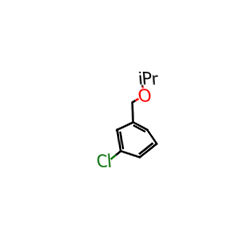 CC(C)OCc1cccc(Cl)c1